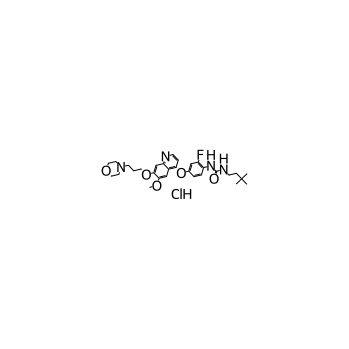 COc1cc2c(Oc3ccc(NC(=O)NCCC(C)(C)C)c(F)c3)ccnc2cc1OCCCN1CCOCC1.Cl